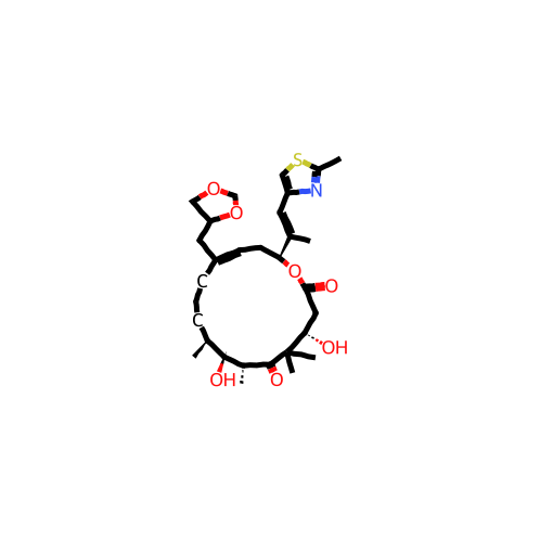 C/C(=C\c1csc(C)n1)[C@@H]1C/C=C(/CC2COCO2)CCC[C@H](C)[C@H](O)[C@@H](C)C(=O)C(C)(C)[C@@H](O)CC(=O)O1